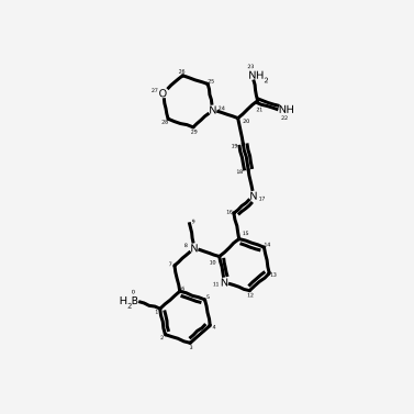 Bc1ccccc1CN(C)c1ncccc1/C=N/C#CC(C(=N)N)N1CCOCC1